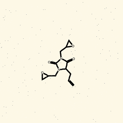 C=CCC1C(=O)N(CC2CO2)C(=O)N1CC1CO1